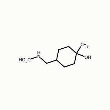 CC1(O)CCC(CNC(=O)O)CC1